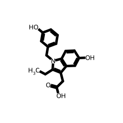 CCc1c(CC(=O)O)c2cc(O)ccc2n1Cc1cccc(O)c1